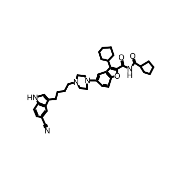 N#Cc1ccc2[nH]cc(CCCCN3CCN(c4ccc5oc(C(=O)NC(=O)C6CCCC6)c(C6CCCCC6)c5c4)CC3)c2c1